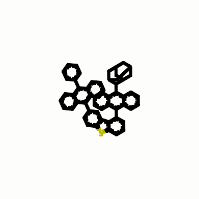 c1ccc(-c2c3ccccc3c(-c3ccc4sc5cccc(-c6c7ccccc7c(C7C8CC9CC(C8)CC7C9)c7ccccc67)c5c4c3)c3ccccc23)cc1